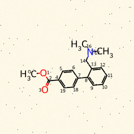 COC(=O)c1ccc(-c2ccccc2CN(C)C)cc1